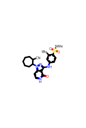 CNS(=O)(=O)c1ccc(Nc2nn(C3CCCCCC3C#N)c3cc[nH]c(=O)c23)cc1C(C)(C)C